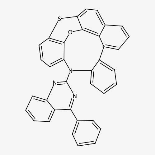 c1ccc(-c2nc(N3c4ccccc4-c4cccc5ccc6c(c45)Oc4c(cccc43)S6)nc3ccccc23)cc1